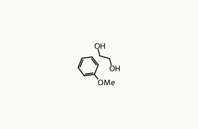 COc1ccccc1.OCCO